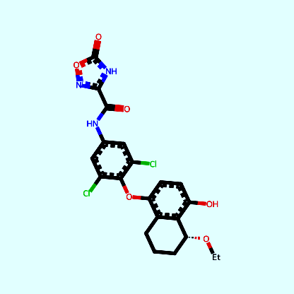 CCO[C@@H]1CCCc2c(Oc3c(Cl)cc(NC(=O)c4noc(=O)[nH]4)cc3Cl)ccc(O)c21